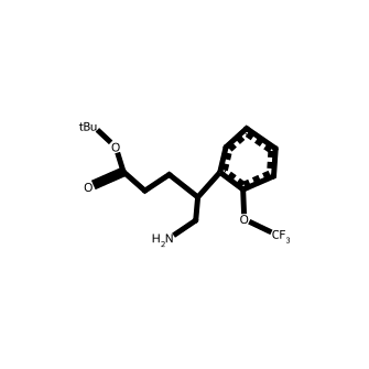 CC(C)(C)OC(=O)CCC(CN)c1ccccc1OC(F)(F)F